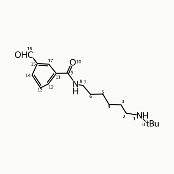 CC(C)(C)NCCCCCCNC(=O)c1cccc(C=O)c1